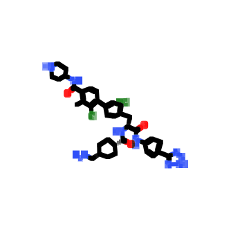 Cc1c(C(=O)NC2CCNCC2)ccc(-c2ccc(C[C@H](NC(=O)[C@H]3CC[C@H](CN)CC3)C(=O)Nc3ccc(-c4nn[nH]n4)cc3)cc2)c1Cl.Cl